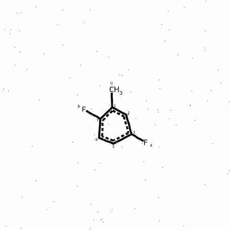 Cc1[c]c(F)ccc1F